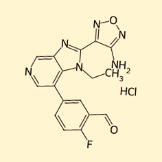 CCn1c(-c2nonc2N)nc2cncc(-c3ccc(F)c(C=O)c3)c21.Cl